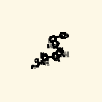 CC(C)CC(=O)Nc1cncc(-c2cnc3[nH]nc(-c4cc5c(-c6ccoc6)ccnc5[nH]4)c3c2)c1